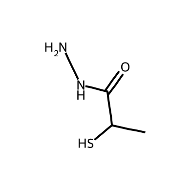 CC(S)C(=O)NN